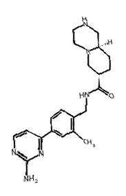 Cc1cc(-c2ccnc(N)n2)ccc1CNC(=O)[C@@H]1CC[C@@H]2CNCCN2C1